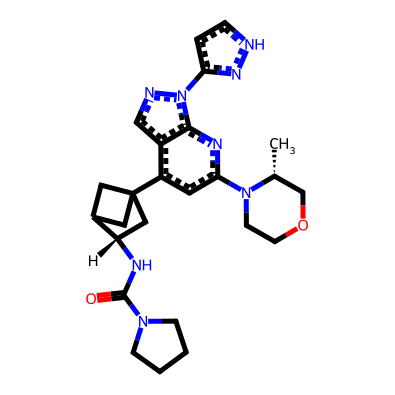 C[C@@H]1COCCN1c1cc(C23CC(C2)[C@@H](NC(=O)N2CCCC2)C3)c2cnn(-c3cc[nH]n3)c2n1